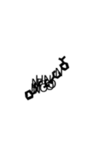 CC(C)c1cccc(N2CCC(C(=O)N[C@@H](Cc3cn(Cc4ccccc4)cn3)C(=O)O)CC2)c1